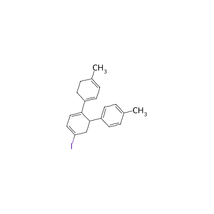 CC1=CC=C(C2=CC=C(I)CC2c2ccc(C)cc2)CC1